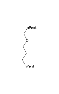 CC[CH]CCCCCOCCCCCC